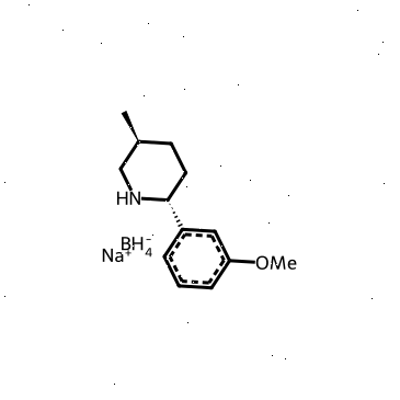 COc1cccc([C@H]2CC[C@H](C)CN2)c1.[BH4-].[Na+]